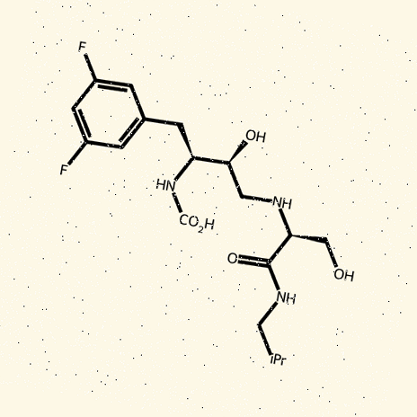 CC(C)CNC(=O)[C@H](CO)NC[C@H](O)[C@H](Cc1cc(F)cc(F)c1)NC(=O)O